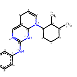 CC1CCCC(N2C=CCC3=CN=C(Nc4ccccc4)NC32)C1C